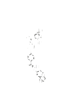 CCn1cc(C(=O)N2CCC(c3ccc(C(=O)NCc4ccn5ccnc5c4)cc3)CC2)c(C(C)C)n1